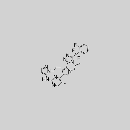 CCCn1nccc1Nc1ncc(C)c(-c2cc3n(c2)C[C@H](C)n2c-3nnc2C(F)(F)c2ccccc2F)n1